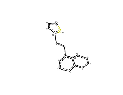 C(=C\c1cccc2ccccc12)/c1cccs1